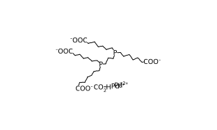 CC(=O)O.O=C([O-])CCCCCCP(CCCCCCC(=O)[O-])CCCP(CCCCCCC(=O)[O-])CCCCCCC(=O)[O-].[Pd+2].[Pd+2]